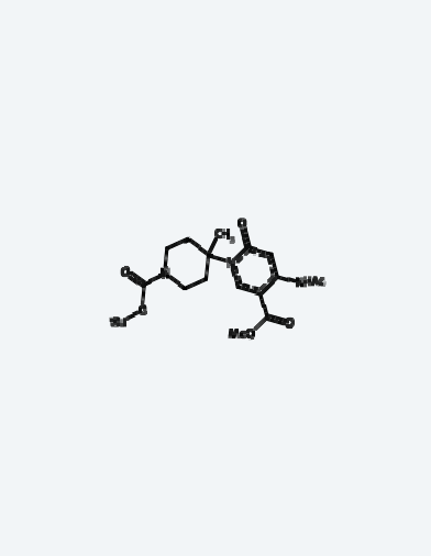 COC(=O)c1cn(C2(C)CCN(C(=O)OC(C)(C)C)CC2)c(=O)cc1NC(C)=O